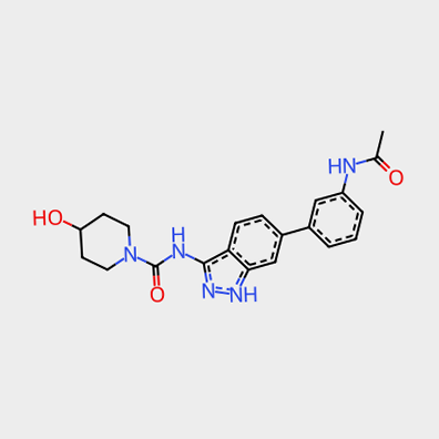 CC(=O)Nc1cccc(-c2ccc3c(NC(=O)N4CCC(O)CC4)n[nH]c3c2)c1